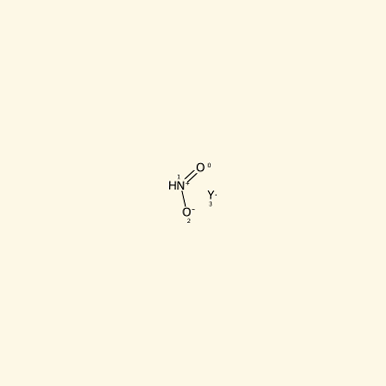 O=[NH+][O-].[Y]